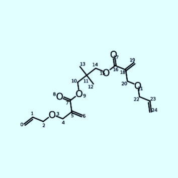 C=CCOCC(=C)C(=O)OCC(C)(C)COC(=O)C(=C)COCC=C